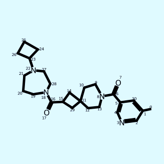 Cc1cncc(C(=O)N2CCC3(CC2)CC(C(=O)N2CCCN(C4CCC4)CC2)C3)c1